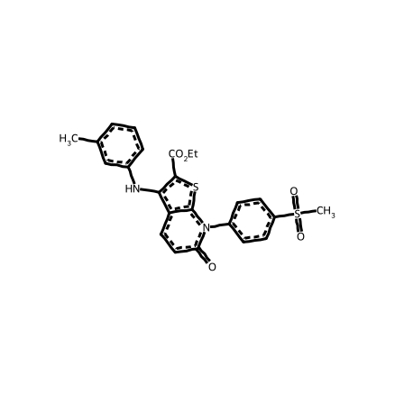 CCOC(=O)c1sc2c(ccc(=O)n2-c2ccc(S(C)(=O)=O)cc2)c1Nc1cccc(C)c1